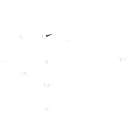 CC(C)C(=O)Nc1nc2c(ncn2[C@H]2CCC(COS(N)(=O)=O)O2)c(=O)[nH]1